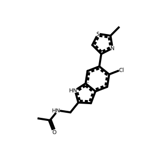 CC(=O)NCc1cc2cc(Cl)c(-c3csc(C)n3)cc2[nH]1